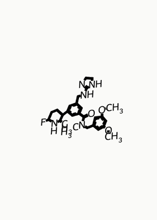 COc1cc(CN(C)C(=O)c2cc(CNC3=NCCN3)cc(C3CCC(F)NC3C)c2)cc(OC)c1